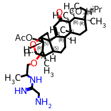 CC(=O)O[C@H]1[C@H](OCC(C)NC(=N)CN)[C@@]2(C)COC13C[C@]31C3=CC(=O)[C@@]4(C)[C@H](C(=O)O)[C@@](C)([C@H](C)C(C)C)CC[C@]4(C)[C@H]3CC[C@@H]21